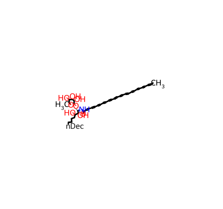 CC#CC#CC#CC#CC#CC#CC#CC#CC#CC#CC#CC#CC(=O)N[C@@H](CO[C@H]1O[C@@H](C)[C@@H](O)C(O)C1O)[C@H](O)[C@H](O)CCCCCCCCCCCCCC